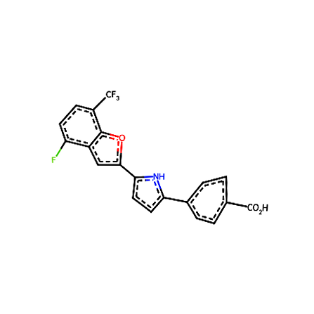 O=C(O)c1ccc(-c2ccc(-c3cc4c(F)ccc(C(F)(F)F)c4o3)[nH]2)cc1